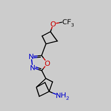 NC12CC(C1)C(c1nnc(C3CC(OC(F)(F)F)C3)o1)C2